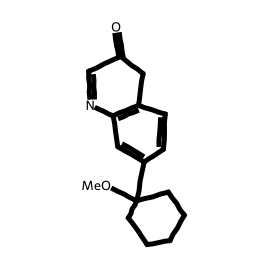 COC1(c2ccc3c(c2)N=CC(=O)C3)CCCCC1